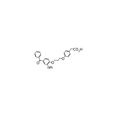 CCCc1cc(C(=O)c2ccccc2)ccc1OCCCOc1ccc(CC(=O)O)cc1